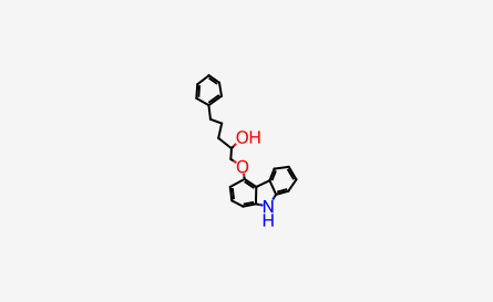 OC(CCCc1ccccc1)COc1cccc2[nH]c3ccccc3c12